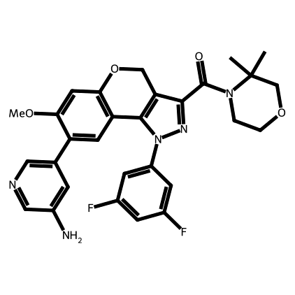 COc1cc2c(cc1-c1cncc(N)c1)-c1c(c(C(=O)N3CCOCC3(C)C)nn1-c1cc(F)cc(F)c1)CO2